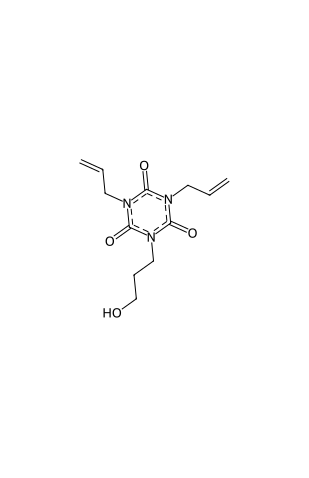 C=CCn1c(=O)n(CC=C)c(=O)n(CCCO)c1=O